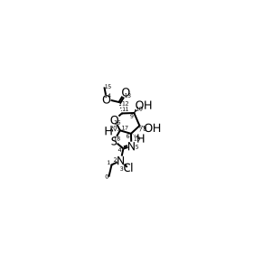 CCN(Cl)C1=N[C@@H]2[C@@H](O)[C@H](O)[C@@H](C(=O)OC)O[C@@H]2S1